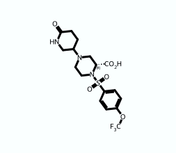 O=C1CCC(N2CCN(S(=O)(=O)c3ccc(OC(F)(F)F)cc3)[C@@H](C(=O)O)C2)CN1